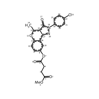 COC(=O)CCC(=O)Oc1ccc2oc(C)c3c(=O)n(-c4ccc(Cl)cc4)nc-3c2c1